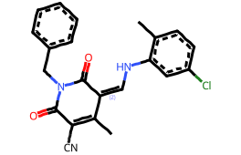 CC1=C(C#N)C(=O)N(Cc2ccccc2)C(=O)/C1=C\Nc1cc(Cl)ccc1C